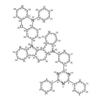 c1ccc(-c2nc(-c3ccccc3)nc(-c3cccc(-n4c5ccccc5c5c4ccc4c6ccccc6n(-c6ccc7c(c6)Oc6ccccc6N7c6ccccc6)c45)c3)n2)cc1